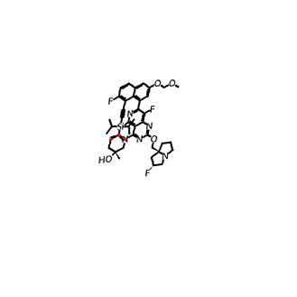 COCOc1cc(-c2nc(C)c3c(N4CCC[C@@](C)(O)C4)nc(OC[C@@]45CCCN4C[C@H](F)C5)nc3c2F)c2c(C#C[Si](C(C)C)(C(C)C)C(C)C)c(F)ccc2c1